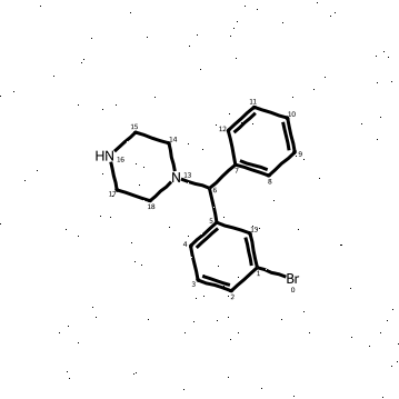 Brc1cccc(C(c2ccccc2)N2CCNCC2)c1